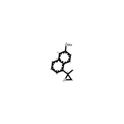 COc1ccc2c(C3(C)CO3)cccc2c1